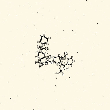 CC(C)(C)NC(=O)N1CCC[C@H]1C(=O)N1CCC(NS(=O)(=O)c2cc(S(=O)(=O)c3ccccc3)ccc2C(F)(F)F)CC1